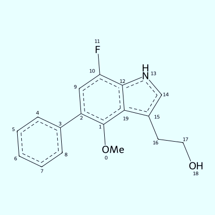 COc1c(-c2ccccc2)cc(F)c2[nH]cc(CCO)c12